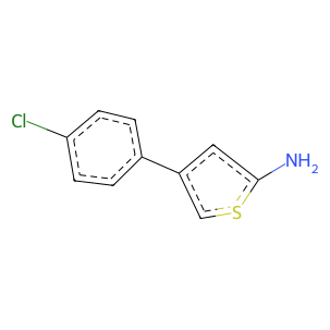 Nc1cc(-c2ccc(Cl)cc2)cs1